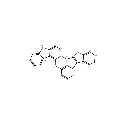 c1cc2c3c(c1)-c1c(sc4ccccc14)B3c1ccc3sc4ccccc4c3c1S2